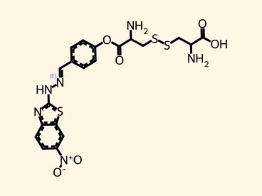 NC(CSSCC(N)C(=O)Oc1ccc(/C=N/Nc2nc3ccc([N+](=O)[O-])cc3s2)cc1)C(=O)O